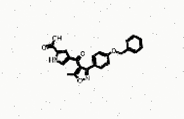 Cc1onc(-c2ccc(OCc3ccccc3)cc2)c1C(=O)c1c[nH]c(C(=O)O)c1